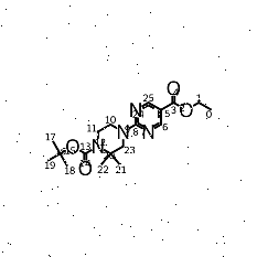 CCOC(=O)c1cnc(N2CCN(C(=O)OC(C)(C)C)C(C)(C)C2)nc1